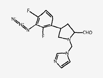 [N-]=[N+]=Nc1c(F)ccc(C2CC(C=O)N(Cn3ccnc3)C2)c1F